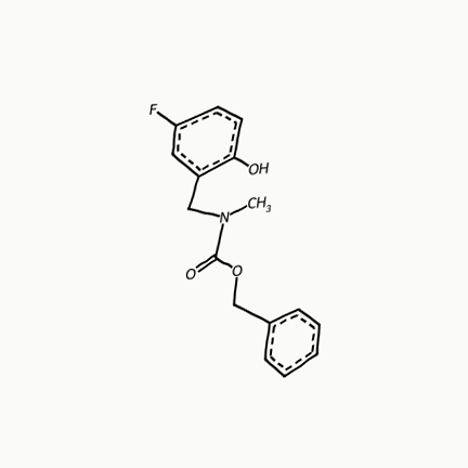 CN(Cc1cc(F)ccc1O)C(=O)OCc1ccccc1